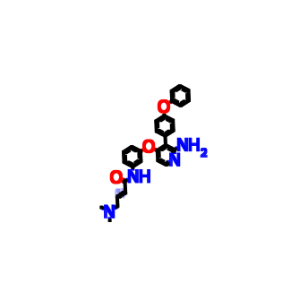 CN(C)C/C=C/C(=O)Nc1cccc(Oc2ccnc(N)c2-c2ccc(Oc3ccccc3)cc2)c1